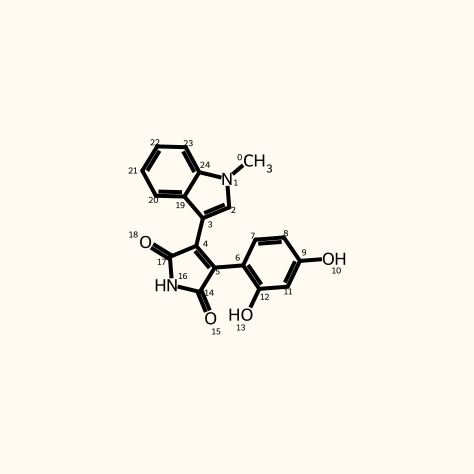 Cn1cc(C2=C(c3ccc(O)cc3O)C(=O)NC2=O)c2ccccc21